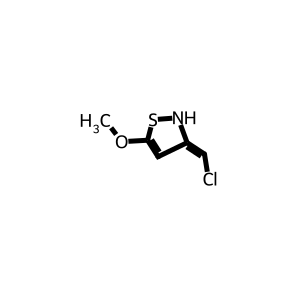 COC1=CC(=CCl)NS1